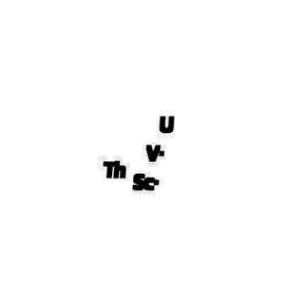 [Sc].[Th].[U].[V]